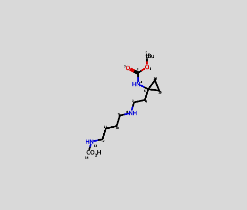 CC(C)(C)OC(=O)NC1(CCNCCCCNC(=O)O)CC1